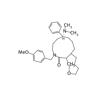 COc1ccc(CN2CCC[C@](c3ccccc3)(N(C)C)CCCC(CC3CCOC3)C(C)C2=O)cc1